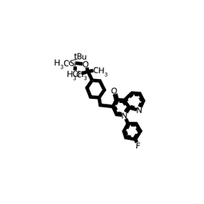 CC(C)(O[Si](C)(C)C(C)(C)C)C1CCC(Cc2cn(-c3ccc(F)cc3)c3ncccc3c2=O)CC1